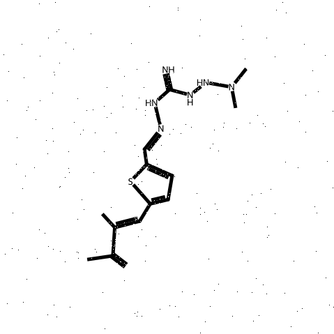 C=C(C)/C(C)=C/c1ccc(/C=N/NC(=N)NNN(C)C)s1